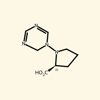 O=C(O)[C@@H]1CCCN1N1C=NC=NC1